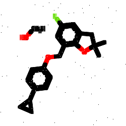 CC1(C)Cc2cc(F)cc(COc3ccc(C4CC4)cc3)c2O1.O=C(O)O